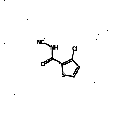 N#CNC(=O)c1sccc1Cl